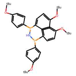 CC(C)(C)Oc1ccc(P(NP(c2ccc(OC(C)(C)C)cc2)c2ccc(OC(C)(C)C)cc2)c2ccc(OC(C)(C)C)cc2)cc1